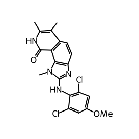 COc1cc(Cl)c(Nc2nc3ccc4c(C)c(C)[nH]c(=O)c4c3n2C)c(Cl)c1